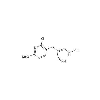 CCN/C=C(\C=N)Cc1ccc(OC)nc1Cl